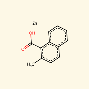 Cc1ccc2ccccc2c1C(=O)O.[Zn]